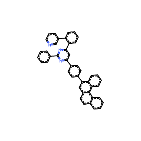 c1ccc(-c2nc(-c3ccc(-c4cc5ccc6ccccc6c5c5ccccc45)cc3)cc(-c3ccccc3-c3cccnc3)n2)cc1